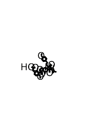 COc1ccc(CCN2C(=O)N(CC(C)C)C(=O)C23CCN(S(=O)(=O)c2cc(CC(=O)O)ccc2OC)CC3)cc1